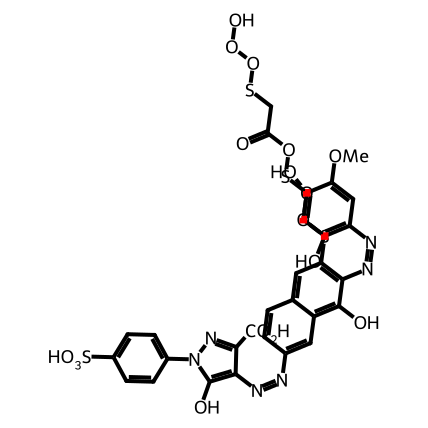 COc1cc(/N=N\c2c(SOOO)cc3ccc(/N=N\c4c(C(=O)O)nn(-c5ccc(S(=O)(=O)O)cc5)c4O)cc3c2O)c(O)cc1SOC(=O)CSOOO